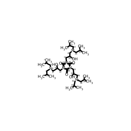 CC(C)CN(CC(C)C)CC(O)Cn1c(=O)n(CC(O)CN(CC(C)C)CC(C)C)c(=O)n(CC(O)CN(CC(C)C)CC(C)C)c1=O